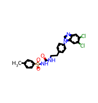 Cc1ccc(S(=O)(=O)NC(=O)NCCc2ccc(-n3cnc4cc(Cl)c(Cl)cc43)cc2)cc1